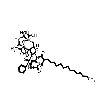 CCCCCCCCCCCCCCC(C#N)C(=O)N(c1cc[nH]c(=O)n1)[C@@H]1O[C@@H]2CO[Si](C(C)C)(C(C)C)O[Si](C(C)C)(C(C)C)O[C@H]2[C@]1(O)OC(=S)Oc1ccccc1